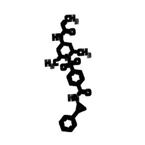 C=CC(=O)NC1CC(C)N(S(=O)(=O)c2ccc(C(=O)N[C@@H]3CC3c3ccccc3)cc2)C(C)C1